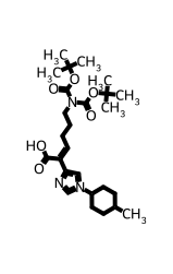 CC1CCC(n2cnc(C(=CCCCN(C(=O)OC(C)(C)C)C(=O)OC(C)(C)C)C(=O)O)c2)CC1